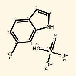 Clc1ccc2cc[nH]c2c1.O=P(O)(O)O